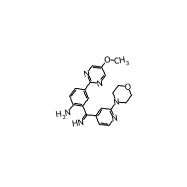 COc1cnc(-c2ccc(N)c(C(=N)c3ccnc(N4CCOCC4)c3)c2)nc1